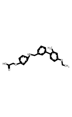 CCOc1ccc(-c2cccc(CNc3ccc(OCC(=O)O)cc3)c2)c(C)c1